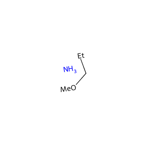 N.[CH2]CCOC